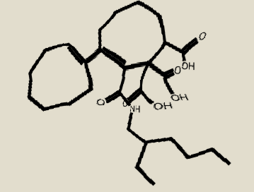 CCCCC(CC)CNC(=O)C1=C(C2=CCCCCCC2)CCCCC(C(=O)O)C1(C(=O)O)C(=O)O